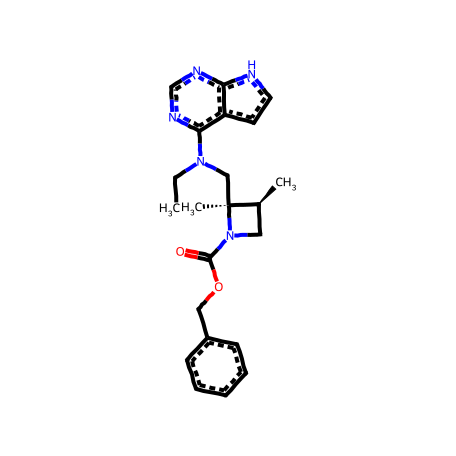 CCN(C[C@@]1(C)[C@@H](C)CN1C(=O)OCc1ccccc1)c1ncnc2[nH]ccc12